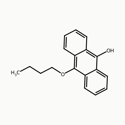 CCCCOc1c2ccccc2c(O)c2ccccc12